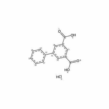 Cl.O=C(O)c1cc(C(=O)O)cc(-c2ccccc2)c1